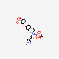 CC(C)(C)OC(=O)N(C[C@@H](O)c1ccc(Cl)nc1)[C@H]1CCc2ccc(Oc3cccc(C(=O)O)c3)cc2C1